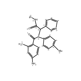 Cc1cc(N)ccc1C(=O)N(c1ccc(C(C)(C)C)cc1)C(C(=O)NC(C)C)c1cccnc1